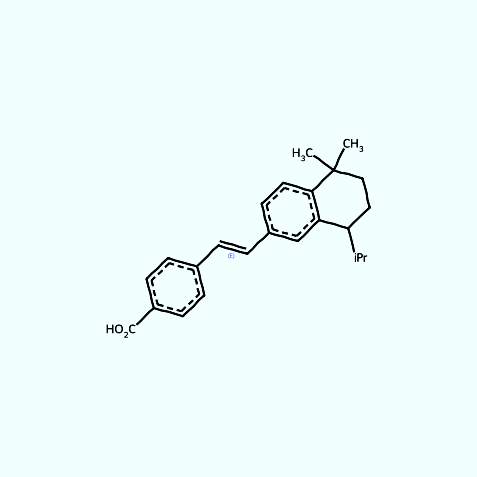 CC(C)C1CCC(C)(C)c2ccc(/C=C/c3ccc(C(=O)O)cc3)cc21